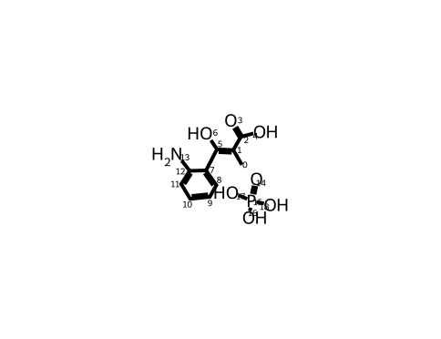 C/C(C(=O)O)=C(/O)c1ccccc1N.O=P(O)(O)O